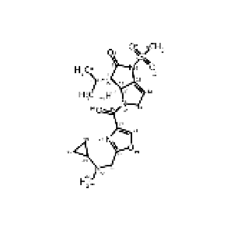 CC(C)[C@@H]1C(=O)N(S(C)(=O)=O)C2=CCN(C(=O)c3coc(CN(C)C4CC4)n3)[C@H]21